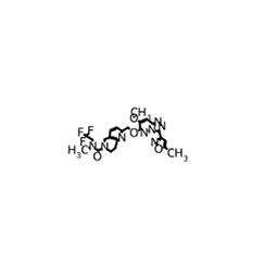 COc1cc2nnc(-c3cc(C)on3)n2nc1OCc1ccc2c(n1)CCN(C(=O)N(C)CC(F)(F)F)C2